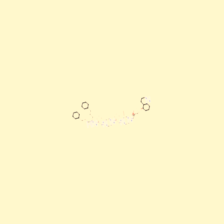 O=C(CN1CCN(C(=O)CN2CCN(C[C@@H](O)COc3cccc4ncccc34)CC2)CC1)NC(CCCc1ccccc1)CCCc1ccccc1